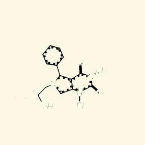 C[C@@H](O)Cn1cc2c(c1-c1ccccc1)c(=O)n(C)c(=O)n2C